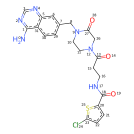 Nc1ncnc2cc(CN3CCN(C(=O)CCNC(=O)c4ccc(Cl)s4)CC3=O)ccc12